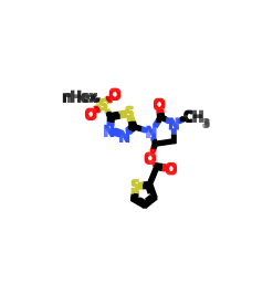 CCCCCCS(=O)(=O)c1nnc(N2C(=O)N(C)CC2OC(=O)c2cccs2)s1